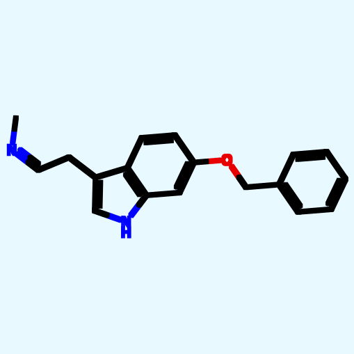 C/N=C\Cc1c[nH]c2cc(OCc3ccccc3)ccc12